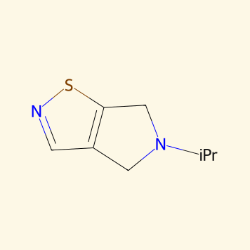 CC(C)N1Cc2cnsc2C1